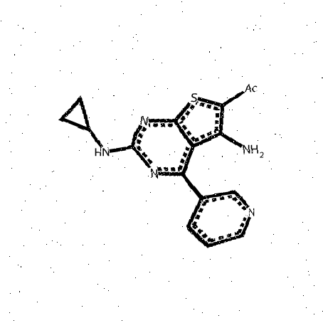 CC(=O)c1sc2nc(NC3CC3)nc(-c3cccnc3)c2c1N